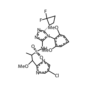 COc1cccc(OC)c1-n1c(NS(=O)(=O)C(C)C(OC)c2ncc(Cl)cn2)nnc1[C@H]1CCC1(F)F